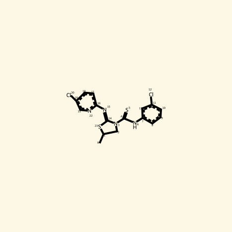 CC1CN(C(=S)Nc2cccc(Cl)c2)C(=Nc2ccc(Cl)cn2)S1